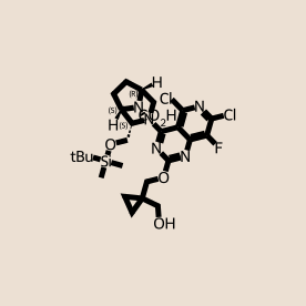 CC(C)(C)[Si](C)(C)OC[C@@H]1[C@@H]2CC[C@H](CN1c1nc(OCC3(CO)CC3)nc3c(F)c(Cl)nc(Cl)c13)N2C(=O)O